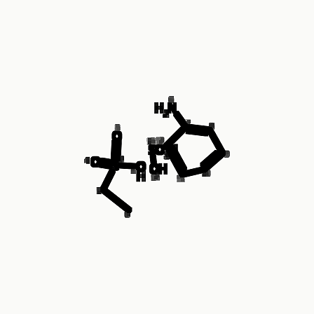 CCS(=O)(=O)O.Nc1ccccc1.O=S(=O)(O)O